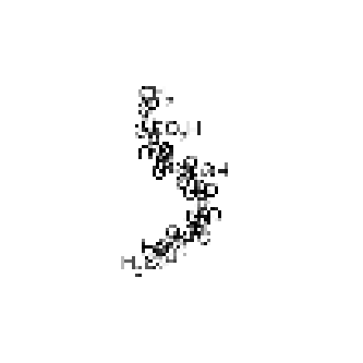 C=CC(=O)OCCOC(=O)c1cc2c(cc1C(=O)O)C(=O)N(Cn1c(=O)c3cc4c(=O)n(-c5cc(O)cc(-n6c(=O)c7cc8c(=O)n(CN9C(=O)c%10cc(C(=O)O)c(C(=O)OCCOC(=O)C=C)cc%10C9=O)c(=O)c8cc7c6=O)c5)c(=O)c4cc3c1=O)C2=O